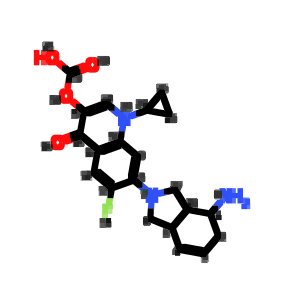 NC1CC=CC2CN(c3cc4c(cc3F)c(=O)c(OC(=O)O)cn4C3CC3)CC12